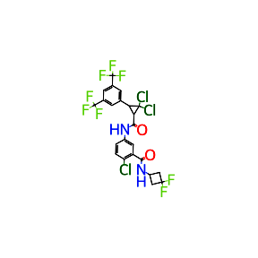 O=C(NC1CC(F)(F)C1)c1cc(NC(=O)C2C(c3cc(C(F)(F)F)cc(C(F)(F)F)c3)C2(Cl)Cl)ccc1Cl